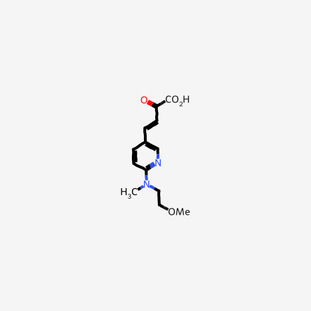 COCCN(C)c1ccc(C=CC(=O)C(=O)O)cn1